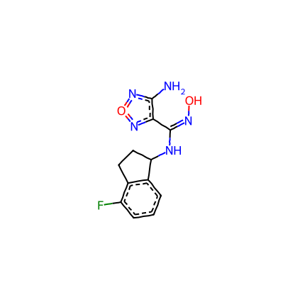 Nc1nonc1/C(=N\O)NC1CCc2c(F)cccc21